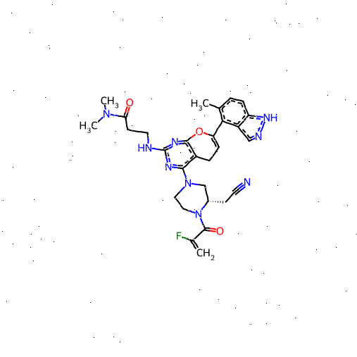 C=C(F)C(=O)N1CCN(c2nc(NCCC(=O)N(C)C)nc3c2CC=C(c2c(C)ccc4[nH]ncc24)O3)C[C@@H]1CC#N